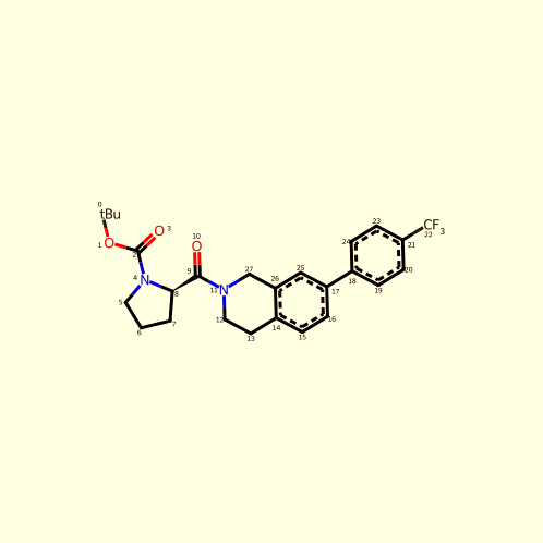 CC(C)(C)OC(=O)N1CCC[C@@H]1C(=O)N1CCc2ccc(-c3ccc(C(F)(F)F)cc3)cc2C1